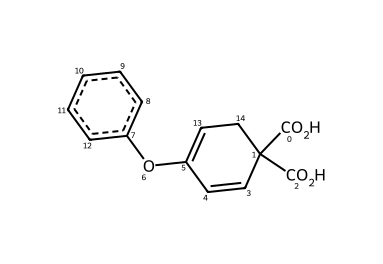 O=C(O)C1(C(=O)O)C=CC(Oc2ccccc2)=CC1